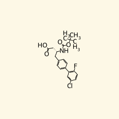 CC(C)(C)OC(=O)N[C@@H](CC(=O)O)Cc1ccc(-c2cc(Cl)ccc2F)cc1